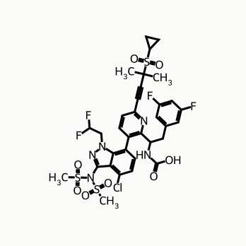 CC(C)(C#Cc1ccc(-c2ccc(Cl)c3c(N(S(C)(=O)=O)S(C)(=O)=O)nn(CC(F)F)c23)c(C(Cc2cc(F)cc(F)c2)NC(=O)O)n1)S(=O)(=O)C1CC1